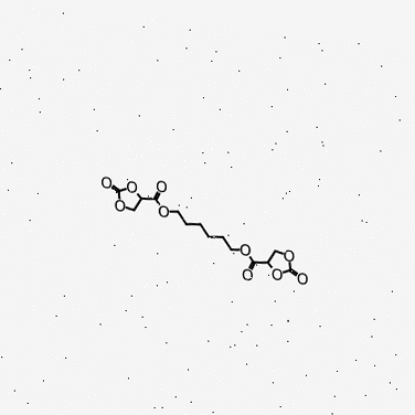 O=C1OCC(C(=O)OCCCCCCOC(=O)C2COC(=O)O2)O1